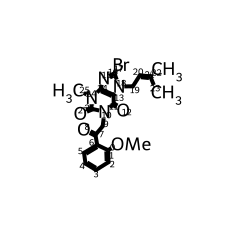 COc1ccccc1C(=O)Cn1c(=O)c2c(nc(Br)n2CC=C(C)C)n(C)c1=O